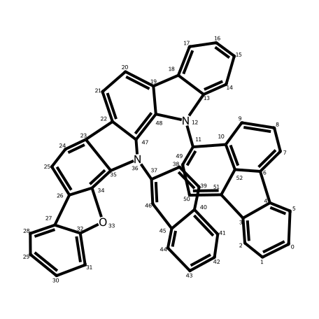 c1ccc2c(c1)-c1cccc3c(-n4c5ccccc5c5ccc6c7ccc8c9ccccc9oc8c7n(-c7ccc8ccccc8c7)c6c54)ccc-2c13